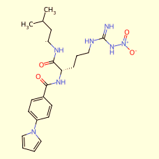 CC(C)C[CH]NC(=O)[C@H](CCCNC(=N)N[N+](=O)[O-])NC(=O)c1ccc(-n2cccc2)cc1